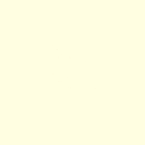 C#C[C@@H](O)CC1C(O[Si](C)(C)C(C)(C)C)CC(OC2CCCCO2)C1C=CC(COc1ccccc1)OC1CCCCO1